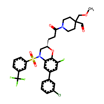 COCC1(C=O)CCN(C(=O)CC[C@H]2CN(S(=O)(=O)c3cccc(C(F)(F)F)c3)c3cc(-c4cccc(Cl)c4)cc(F)c3O2)CC1